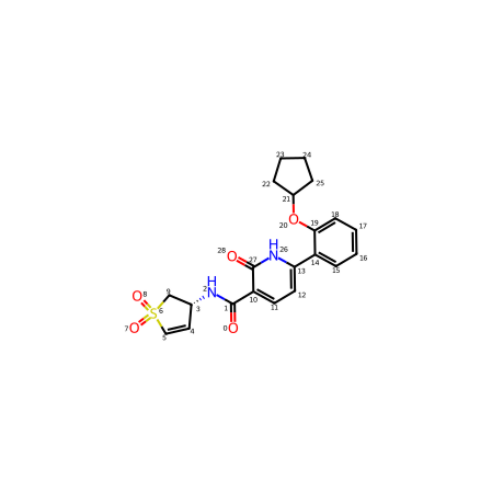 O=C(N[C@@H]1C=CS(=O)(=O)C1)c1ccc(-c2ccccc2OC2CCCC2)[nH]c1=O